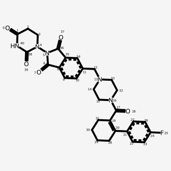 O=C1CCN(N2C(=O)c3ccc(CN4CCN(C(=O)C5=C(c6ccc(F)cc6)CCCC5)CC4)cc3C2=O)C(=O)N1